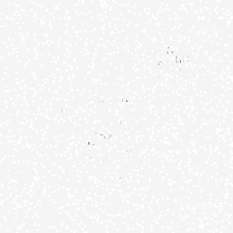 CCOc1cc(CO)c(CN(Cc2ccccc2)C(=O)C(c2ccccc2)C2CCN(c3ccc(-n4cn[nH]c4=O)cc3)CC2)c(OC)c1